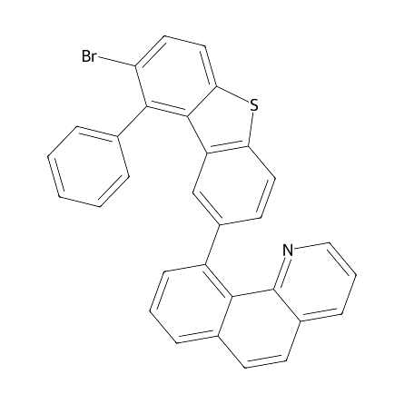 Brc1ccc2sc3ccc(-c4cccc5ccc6cccnc6c45)cc3c2c1-c1ccccc1